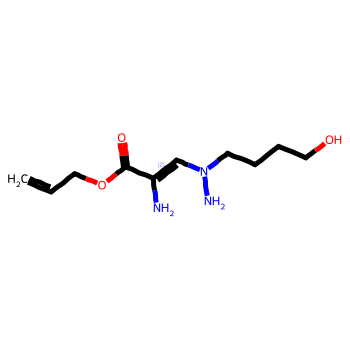 C=CCOC(=O)/C(N)=C/N(N)CCCCO